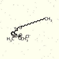 CCCCCCCCCCCCCCCCOCC1CC(c2ccc[n+](CC)c2CNC(=O)OC)S1.[Cl-]